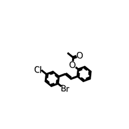 CC(=O)Oc1ccccc1C=Cc1cc(Cl)ccc1Br